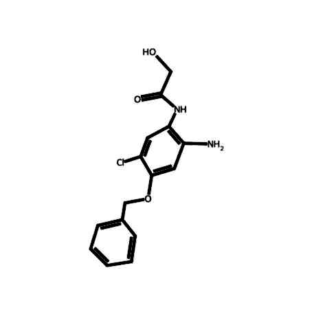 Nc1cc(OCc2ccccc2)c(Cl)cc1NC(=O)CO